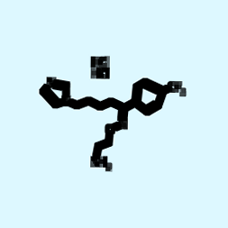 Cl.Cl.NCCON=C(CCCCn1ccnc1)c1ccc(C(F)(F)F)cc1